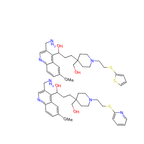 COc1ccc2ncc(CN)c(C(O)CCC3(CO)CCN(CCSc4ccccn4)CC3)c2c1.COc1ccc2ncc(CN)c(C(O)CCC3(CO)CCN(CCSc4cccs4)CC3)c2c1